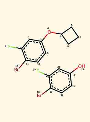 Fc1cc(OC2CCC2)ccc1Br.Oc1ccc(Br)c(F)c1